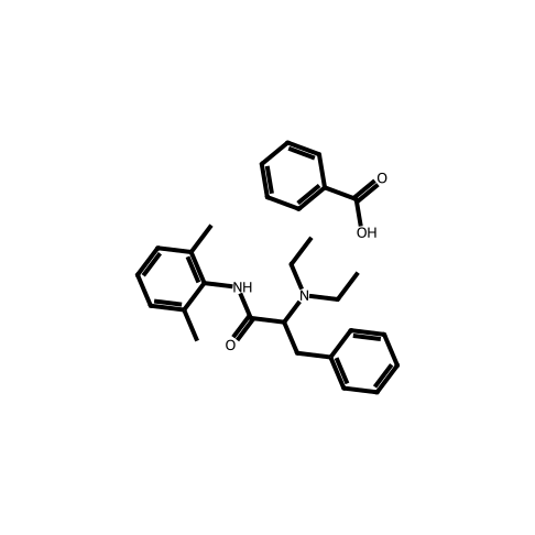 CCN(CC)C(Cc1ccccc1)C(=O)Nc1c(C)cccc1C.O=C(O)c1ccccc1